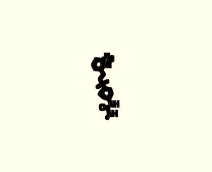 CNC(=O)Nc1ccc(C(C)(C)CCc2cccc3nonc23)cc1